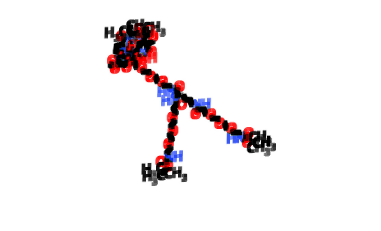 CC[C@@]1(OC(=O)[C@@H](NC(=O)[C@@H]2CCCN2C(=O)[C@H](CC(=O)O)NC(=O)CCOCCOCCOCCNC(=O)[C@H](CCCCNC(=O)CCOCCOCCOCCNC(=O)OC(C)(C)C)NC(=O)CCOCCOCCOCCNC(=O)OC(C)(C)C)C(C)C)C(=O)OCc2c1cc1n(c2=O)Cc2cc3cc4c(cc3nc2-1)OCO4